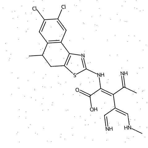 CN/C=C(C=N)/C(C(C)=N)=C(/Nc1nc2c(s1)CC(C)c1cc(Cl)c(Cl)cc1-2)C(=O)O